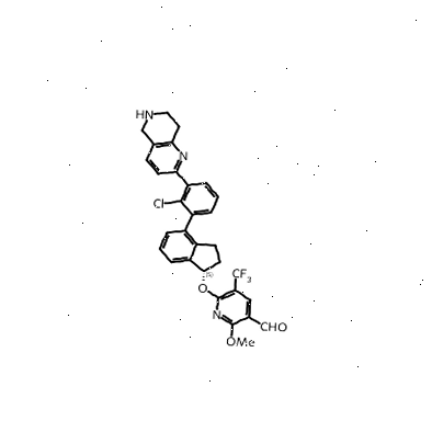 COc1nc(O[C@H]2CCc3c(-c4cccc(-c5ccc6c(n5)CCNC6)c4Cl)cccc32)c(C(F)(F)F)cc1C=O